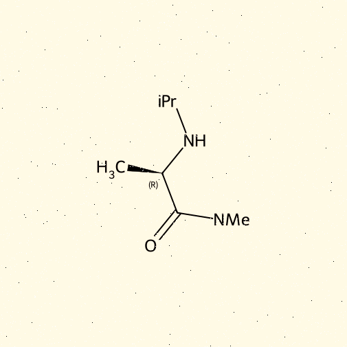 CNC(=O)[C@@H](C)NC(C)C